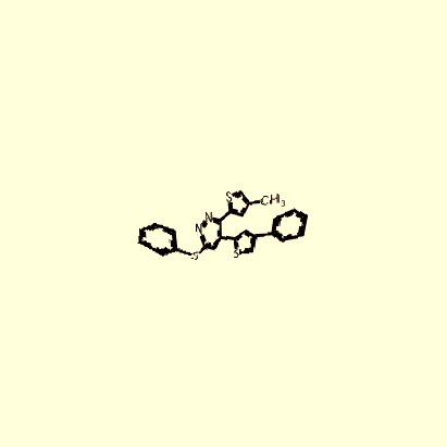 Cc1csc(-c2nnc(Sc3ccccc3)cc2-c2cc(-c3ccccc3)cs2)c1